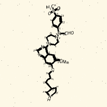 COc1cc2c(N3CCN(N(C=O)c4ccc(S(C)(=O)=O)cc4)CC3)ncnc2cc1OCCCC1CCNC1